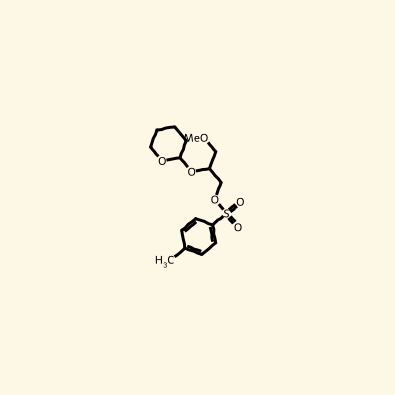 COCC(COS(=O)(=O)c1ccc(C)cc1)OC1CCCCO1